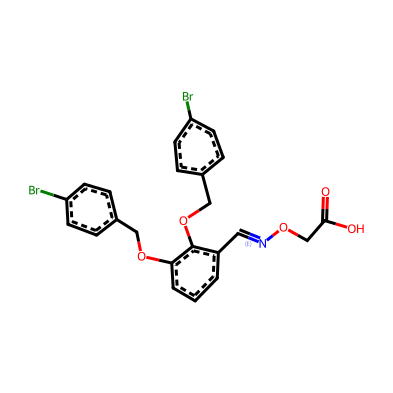 O=C(O)CO/N=C/c1cccc(OCc2ccc(Br)cc2)c1OCc1ccc(Br)cc1